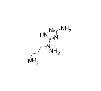 NCCCN(N)c1nc(N)n[nH]1